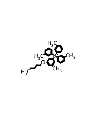 CCCCCC.Cc1cccc([B-](c2cccc(C)c2)(c2cccc(C)c2)c2cccc(C)c2)c1